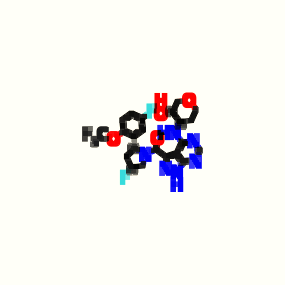 O=C(c1n[nH]c2ncnc(N[C@@H]3CCOC[C@H]3O)c12)N1C[C@@H](F)C[C@@H]1c1cc(F)ccc1OC(F)(F)F